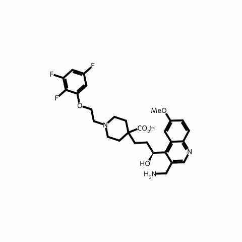 COc1ccc2ncc(CN)c([C@@H](O)CCC3(C(=O)O)CCN(CCOc4cc(F)cc(F)c4F)CC3)c2c1